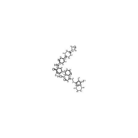 Cc1c(F)c2n(c1CCN(C=O)c1nccc(-c3cc(Nc4ccc(N5CCN(C6COC6)CC5)cn4)c(=O)n(C)c3)c1CO)CCCC2